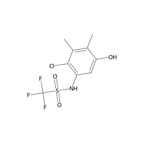 Cc1c(O)cc(NS(=O)(=O)C(F)(F)F)c(Cl)c1C